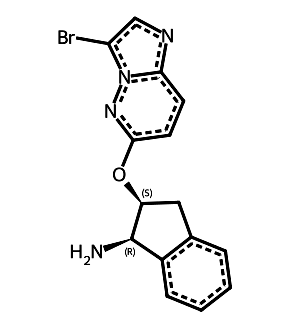 N[C@@H]1c2ccccc2C[C@@H]1Oc1ccc2ncc(Br)n2n1